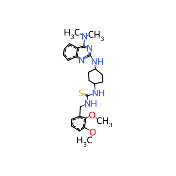 COc1cccc(CNC(=S)NC2CCC(Nc3nc(N(C)C)c4ccccc4n3)CC2)c1OC